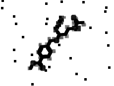 COC(=O)c1ccc(COC(CCNC(C)=O)N=[N+]=[N-])cc1